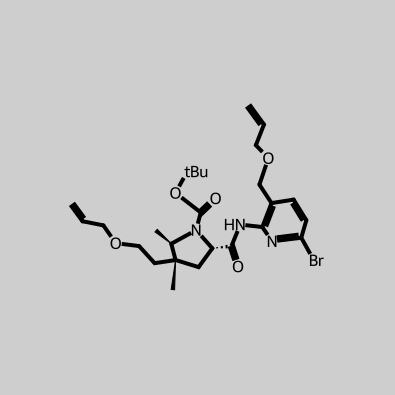 C=CCOCC[C@@]1(C)C[C@@H](C(=O)Nc2nc(Br)ccc2COCC=C)N(C(=O)OC(C)(C)C)[C@@H]1C